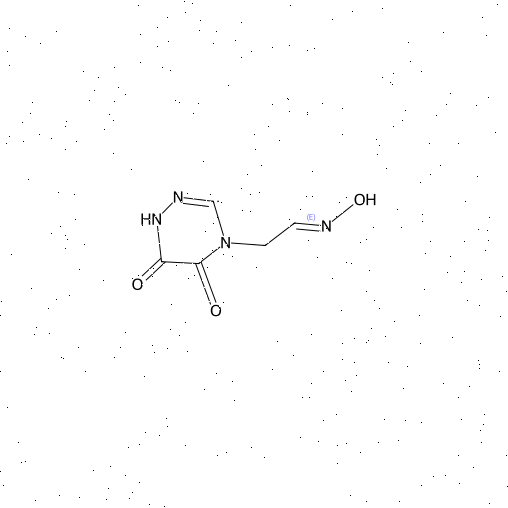 O=c1[nH]n[c]n(C/C=N/O)c1=O